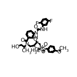 COc1ccc(S(=O)(=O)N(C)C[C@@H]2Oc3c(NC(=O)Nc4cc(F)ccc4F)cccc3C(=O)N([C@@H](C)CO)C[C@H]2C)cc1